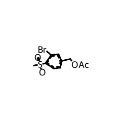 CC(=O)OCc1ccc(S(C)(=O)=O)c(Br)c1